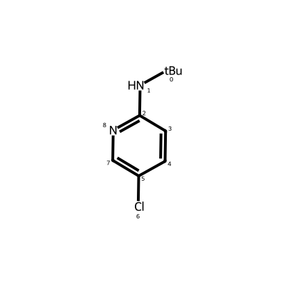 CC(C)(C)Nc1ccc(Cl)cn1